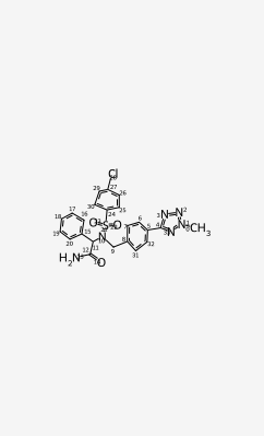 Cn1nnc(-c2ccc(CN(C(C(N)=O)c3ccccc3)S(=O)(=O)c3ccc(Cl)cc3)cc2)n1